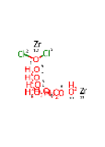 ClOCl.O.O.O.O.O.O.O.O.[Zr].[Zr]